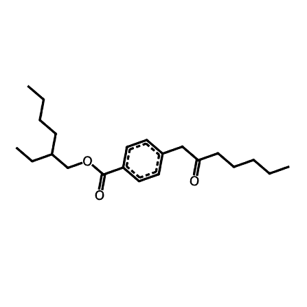 CCCCCC(=O)Cc1ccc(C(=O)OCC(CC)CCCC)cc1